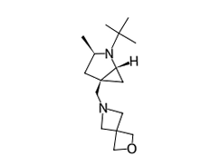 C[C@@H]1C[C@@]2(CN3CC4(COC4)C3)C[C@H]2N1C(C)(C)C